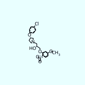 COc1ccc([N+](=O)[O-])c(OC[C@@H](O)CN2CC[C@H](Oc3ccc(Cl)cc3)C2)c1